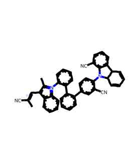 C/C(C#N)=C\c1c(C)n(-c2ccccc2-c2ccccc2-c2ccc(N3c4c(C#N)cccc4C4C=CC=CC43)c(C#N)c2)c2ccccc12